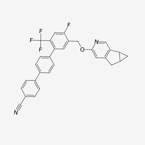 N#Cc1ccc(-c2ccc(-c3cc(COc4cc5c(cn4)C4CC4C5)c(F)cc3C(F)(F)F)cc2)cc1